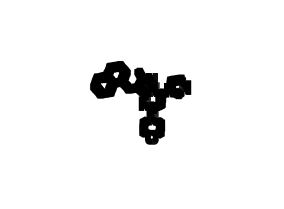 Cc1nn2c(-n3ccnc3)cc(N3CCOCC3)nc2c1Cc1cccc2ccccc12